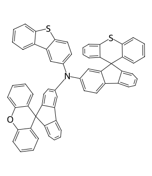 c1ccc2c(c1)Oc1ccccc1C21c2ccccc2-c2cc(N(c3ccc4c(c3)C3(c5ccccc5Sc5ccccc53)c3ccccc3-4)c3ccc4sc5ccccc5c4c3)ccc21